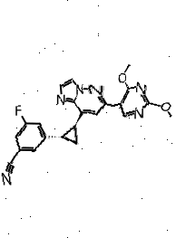 COc1ncc(-c2cc([C@H]3C[C@@H]3c3cc(F)cc(C#N)c3)c3nccn3n2)c(OC)n1